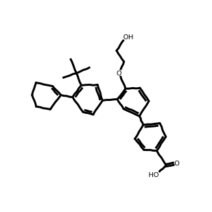 CC(C)(C)c1cc(-c2cc(-c3ccc(C(=O)O)cc3)ccc2OCCO)ccc1C1=CCCCC1